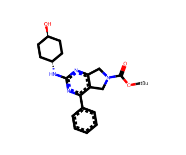 CC(C)(C)OC(=O)N1Cc2nc(N[C@H]3CC[C@H](O)CC3)nc(-c3ccccc3)c2C1